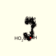 COC(=O)N[C@@H](C(=O)N1CCC[C@H]1c1nc2c([nH]1)-c1ccc(C#Cc3ccc(-c4c[nH]c([C@@H]5CCCN5C(=O)[C@H](NC(=O)O)c5ccccc5)n4)cc3)cc1CC2)c1ccccc1